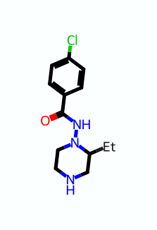 CCC1CNCCN1NC(=O)c1ccc(Cl)cc1